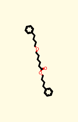 O=C(CCCCCOCCCCc1ccccc1)OCCCCc1ccccc1